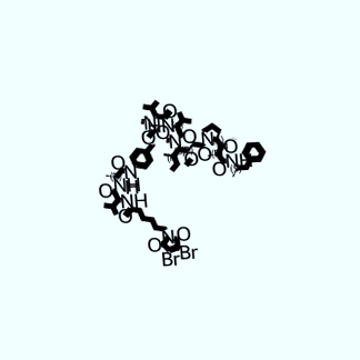 CC[C@@H](C)[C@@H]([C@@H](CC(=O)N1CCC[C@H]1[C@H](OC)[C@@H](C)C(=O)N[C@@H](C)Cc1ccccc1)OC)N(C)C(=O)[C@@H](NC(=O)C(C(C)C)N(C)C(=O)OCc1ccc(NC(=O)[C@@H](C)NC(=O)C(NC(=O)CCCCCN2C(=O)C(Br)=C(Br)C2=O)C(C)C)cc1)C(C)C